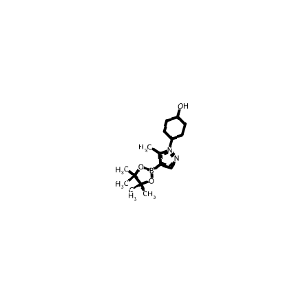 Cc1c(B2OC(C)(C)C(C)(C)O2)cnn1C1CCC(O)CC1